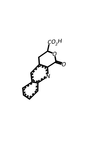 O=C1OC(C(=O)O)Cc2cc3ccccc3nc21